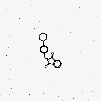 O=C1c2ccccc2C(=O)N1Sc1ccc(C2CCCCC2)cc1